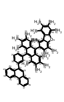 Bc1c(B)c(B)c2c(oc3c(B)c(B)c(-c4c5c(B)c(B)c(B)c(B)c5c(-c5cccc(-c6cc7ccccc7c7ccccc67)c5)c5c(B)c(B)c(B)c(B)c45)c(B)c32)c1B